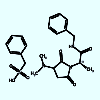 C[C@H](C(=O)NCc1ccccc1)N1C(=O)CC(N(C)C)C1=O.O=S(=O)(O)Cc1ccccc1